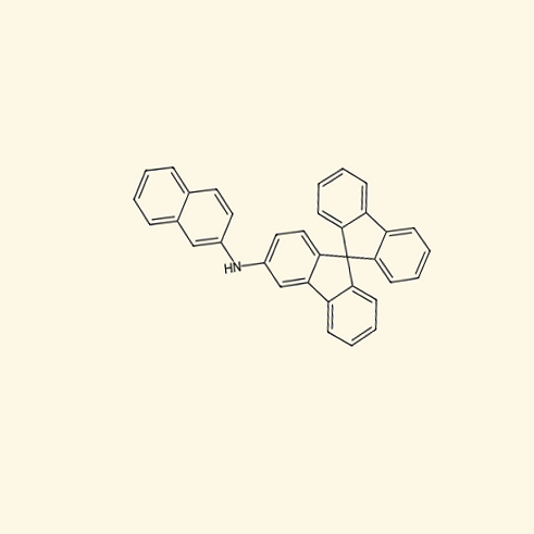 c1ccc2c(c1)-c1ccccc1C21c2ccccc2-c2cc(Nc3ccc4ccccc4c3)ccc21